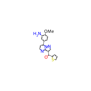 COc1ccc(-c2ccnc3c(C(=O)c4cccs4)cnn23)cc1N